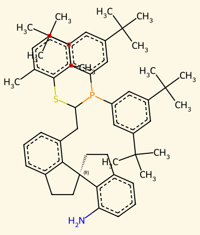 Cc1cccc(C)c1SC(Cc1cccc2c1[C@]1(CCc3cccc(N)c31)CC2)P(c1cc(C(C)(C)C)cc(C(C)(C)C)c1)c1cc(C(C)(C)C)cc(C(C)(C)C)c1